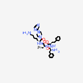 CC(C)C[C@@H](NC(=O)[C@@H](CCc1ccccc1)NC(=O)[C@H](N)Cc1ccccc1)C(=O)N[C@H](CCCCCN)C(=O)N1CCN(c2cnccn2)CC1